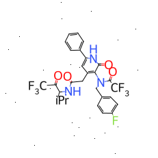 CC(C)C(NC(=O)Cc1cc(-c2ccccc2)[nH]c(=O)c1N(Cc1ccc(F)cc1)C(=O)C(F)(F)F)C(=O)C(F)(F)F